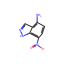 Nc1ccc([N+](=O)[O-])c2[nH]ncc12